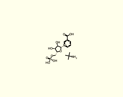 CC(C)(C)N.O=C(O)c1ccc[n+]([C@@H]2O[C@H](COP(=O)(O)O)[C@@H](O)[C@H]2O)c1